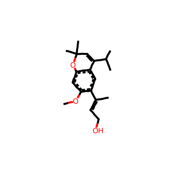 COc1cc2c(cc1/C(C)=C/CO)C(C(C)C)=CC(C)(C)O2